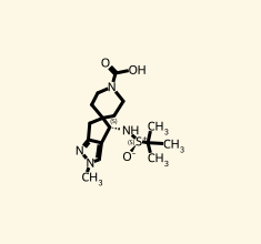 Cn1cc2c(n1)CC1(CCN(C(=O)O)CC1)[C@@H]2N[S@+]([O-])C(C)(C)C